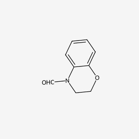 O=CN1CCOc2ccccc21